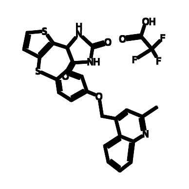 Cc1cc(COc2ccc(Sc3ccsc3C3NC(=O)NC3=O)cc2)c2ccccc2n1.O=C(O)C(F)(F)F